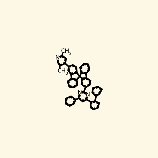 Cc1cc(-c2ccc3c(c2)-c2ccccc2C32c3ccccc3-c3ccc(-c4nc(-c5ccccc5)cc(-c5ccccc5-c5ccccc5)n4)cc32)c(C)cn1